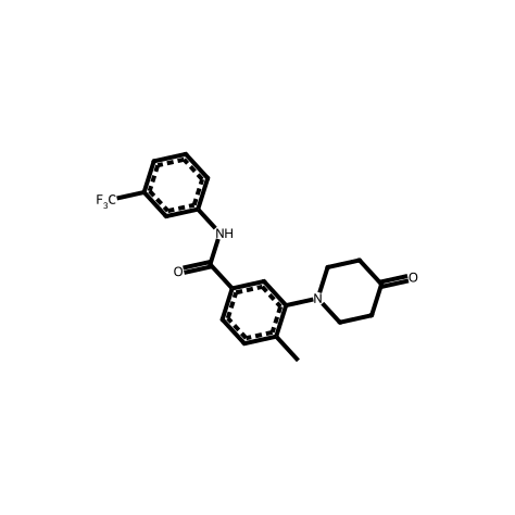 Cc1ccc(C(=O)Nc2cccc(C(F)(F)F)c2)cc1N1CCC(=O)CC1